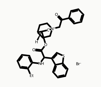 CCc1ccccc1NC(C(=O)O[C@H]1C[N+]2(CC(=O)c3ccccc3)CCC1CC2)c1csc2ccccc12.[Br-]